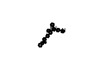 CC1(C)c2cc(-c3ccc(-c4ccc(-c5cc(-c6ccc(-c7cccnc7)cc6)nc(-c6ccccc6)n5)c5ccccc45)cc3)ccc2-c2cc3ccccc3cc21